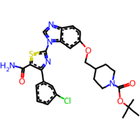 CC(C)(C)OC(=O)N1CCC(COc2ccc3ncn(-c4nc(-c5cccc(Cl)c5)c(C(N)=O)s4)c3c2)CC1